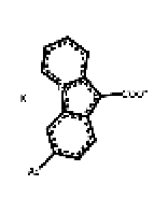 CC(=O)c1ccc2c(C(=O)[O-])c3ccccn3c2c1.[K+]